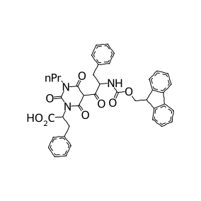 CCCN1C(=O)C(C(=O)C(Cc2ccccc2)NC(=O)OCC2c3ccccc3-c3ccccc32)C(=O)N(C(Cc2ccccc2)C(=O)O)C1=O